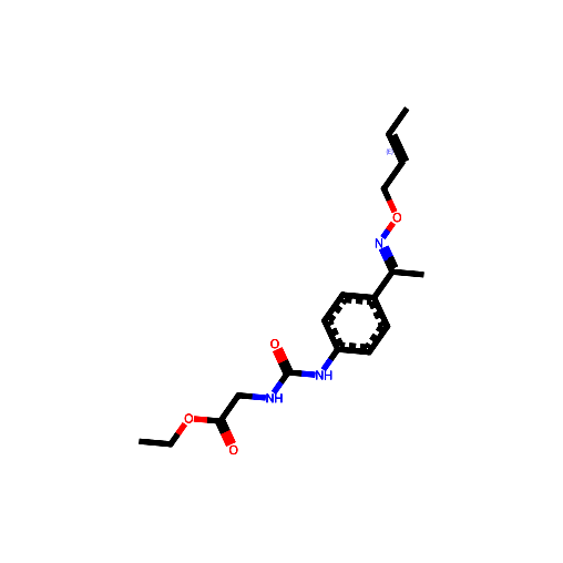 C/C=C/CON=C(C)c1ccc(NC(=O)NCC(=O)OCC)cc1